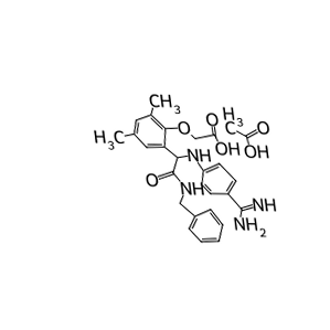 CC(=O)O.Cc1cc(C)c(OCC(=O)O)c(C(Nc2ccc(C(=N)N)cc2)C(=O)NCc2ccccc2)c1